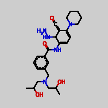 CC(O)CN(Cc1cccc(C(=O)NC2=CC=C(N3CCCCC3)C(=C=O)C2NN)c1)CC(C)O